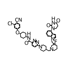 N#Cc1ccc(OC2CCC(NC(=O)c3ccc(N4CCC(CN5CCC[C@@](F)(Cn6ccc7c(N8CCC(=O)NC8=O)cccc76)C5)CC4)nn3)CC2)cc1Cl